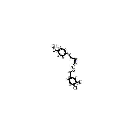 COc1ccc(SC/C=C\SSCc2ccc(Cl)c(Cl)c2)cc1